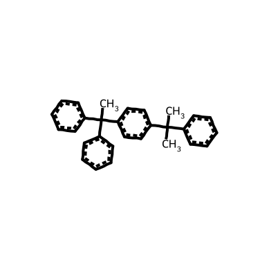 CC(C)(c1ccccc1)c1ccc(C(C)(c2ccccc2)c2ccccc2)cc1